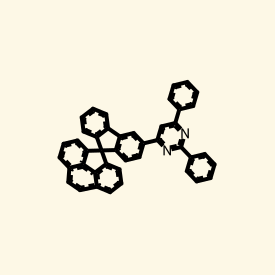 c1ccc(-c2cc(-c3ccc4c(c3)-c3ccccc3C43c4cccc5ccc6cccc3c6c45)nc(-c3ccccc3)n2)cc1